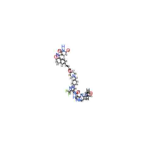 O=C1CC[C@@H](c2noc3ccc4cc(C#CCOC5CCN(CC6CCC(n7cc(NC(=O)c8cnn9ccc(N%10C[C@H]%11C[C@@H]%10CO%11)nc89)c(C(F)F)n7)CC6)CC5)ccc4c23)C(=O)N1